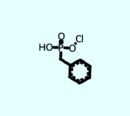 O=P(O)(Cc1ccccc1)OCl